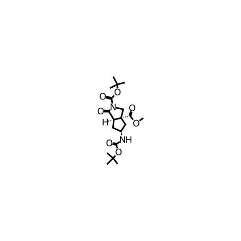 COC(=O)[C@]12C[C@H](NC(=O)OC(C)(C)C)C[C@H]1C(=O)N(C(=O)OC(C)(C)C)C2